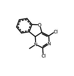 CN1C(Cl)=NC(Cl)=C2Oc3ccccc3C21